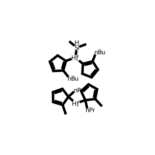 CCCCC1=[C]([Hf]([C]2=C(CCCC)C=CC2)[SiH](C)C)CC=C1.CCC[C]1([Hf][C]2(CCC)C=CC=C2C)C=CC=C1C